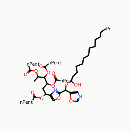 CCCCCC(=O)OC(CC(OC(=O)CCCCC)C(OC(=O)CCCCC)C(C)OC(=O)CCCCC)c1coc(C(OC(O)CCCCCCCCCCCC(C)C)c2cnco2)n1